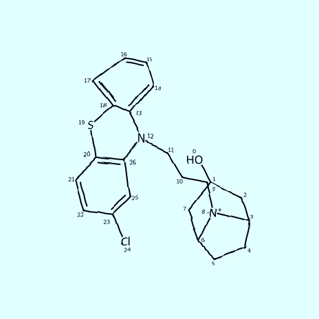 OC1CC2CCC(C1)[N+]2CCCN1c2ccccc2Sc2ccc(Cl)cc21